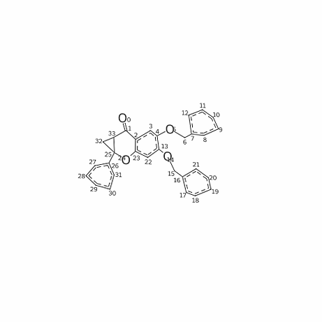 O=C1c2cc(OCc3ccccc3)c(OCc3ccccc3)cc2OC2(c3ccccc3)CC12